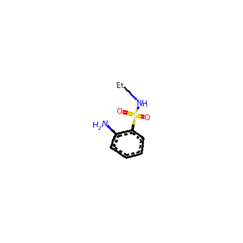 CCNS(=O)(=O)c1ccccc1N